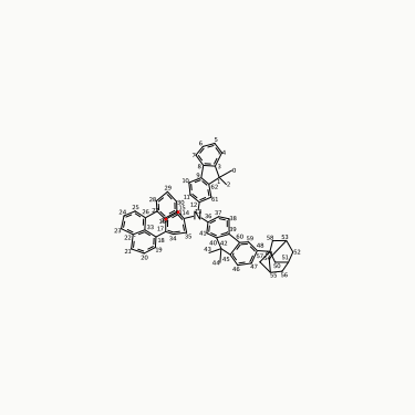 CC1(C)c2ccccc2-c2ccc(N(c3ccc(-c4cccc5cccc(-c6ccccc6)c45)cc3)c3ccc4c(c3)C(C)(C)c3ccc(C56CC7CC(CC(C7)C5)C6)cc3-4)cc21